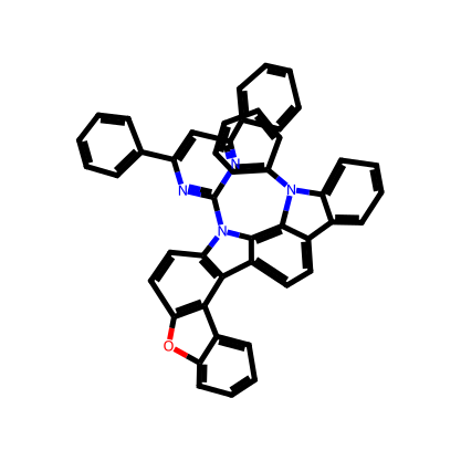 c1ccc(-c2cc(-c3ccccc3)nc(-n3c4ccc5oc6ccccc6c5c4c4ccc5c6ccccc6n(-c6ccccc6)c5c43)n2)cc1